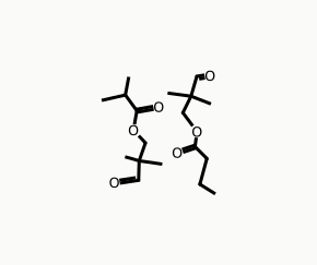 CC(C)C(=O)OCC(C)(C)C=O.CCCC(=O)OCC(C)(C)C=O